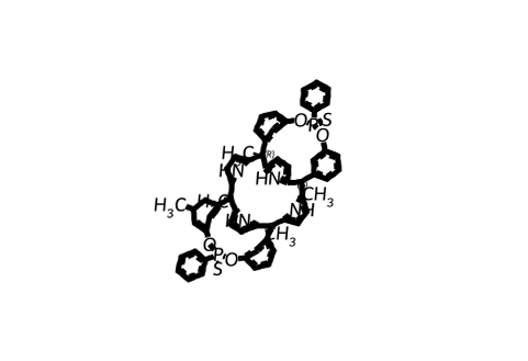 CC1C=C2C=C(C1)[C@]1(C)c3ccc([nH]3)[C@](C)(c3cccc(c3)OP(=S)(c3ccccc3)O2)c2ccc([nH]2)[C@]2(C)c3cccc(c3)OP(=S)(c3ccccc3)Oc3cccc(c3)[C@](C)(C3=CCC1N3)c1ccc2[nH]1